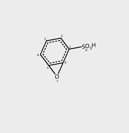 O=S(=O)(O)c1cccc2c1O2